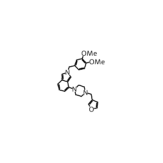 COc1ccc(Cn2cc3cccc(N4CCN(Cc5ccoc5)CC4)c3c2)cc1OC